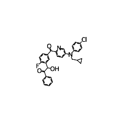 O=C(c1ccc(F)c(C(O)C(=O)c2ccccc2)c1)c1ccc(N(CC2CC2)c2ccc(Cl)cc2)cn1